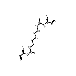 C=CC(=O)OC(C)SCCSCCSC(C)OC(=O)C=C